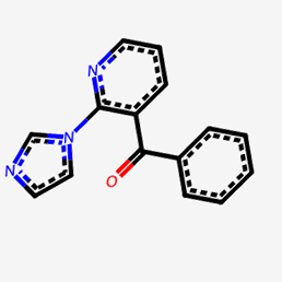 O=C(c1ccccc1)c1cccnc1-n1ccnc1